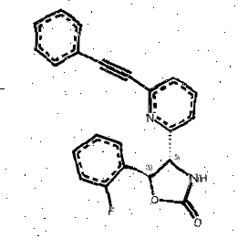 O=C1N[C@@H](c2cccc(C#Cc3ccccc3)n2)[C@H](c2ccccc2F)O1